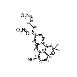 CC1(C)C=C(n2ccc(C(CCO[N+](=O)[O-])O[N+](=O)[O-])cc2=O)c2cc(C#N)ccc2O1